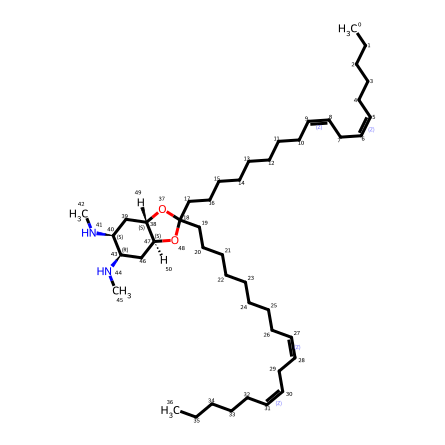 CCCCC/C=C\C/C=C\CCCCCCCCC1(CCCCCCCC/C=C\C/C=C\CCCCC)O[C@H]2C[C@H](NC)[C@H](NC)C[C@@H]2O1